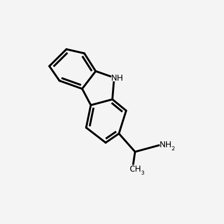 CC(N)c1ccc2c(c1)[nH]c1ccccc12